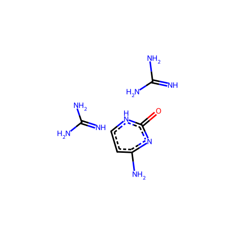 N=C(N)N.N=C(N)N.Nc1cc[nH]c(=O)n1